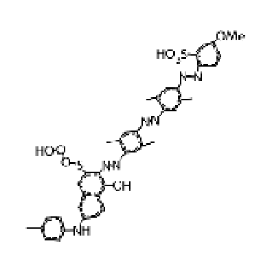 COc1ccc(N=Nc2cc(C)c(N=Nc3cc(C)c(N=Nc4c(SOOO)cc5cc(Nc6ccc(C)cc6)ccc5c4O)cc3C)cc2C)c(S(=O)(=O)O)c1